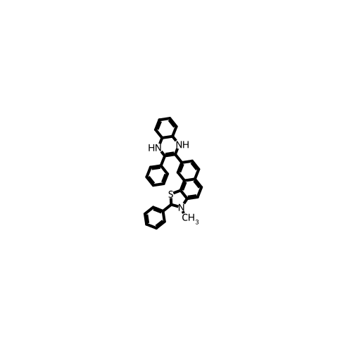 CN1c2ccc3ccc(C4=C(c5ccccc5)NC5C=CC=CC5N4)cc3c2SC1c1ccccc1